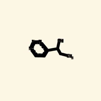 CCC(O)c1ccnnn1